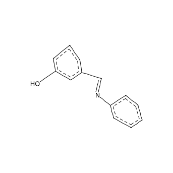 Oc1cccc(C=Nc2ccccc2)c1